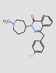 CN1CCCC(n2nc(Cc3ccc([18F])cc3)c3ccccc3c2=O)CC1